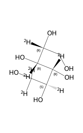 [2H]C([2H])(O)[C@]([2H])(O)[C@@]([2H])(O)[C@]([2H])(O)[C@]([2H])(O)CO